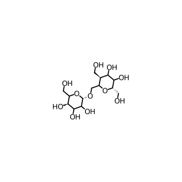 OCC1O[C@H](OCC2O[C@@H](CO)C(O)C(O)[C@@H]2CO)C(O)C(O)[C@H]1O